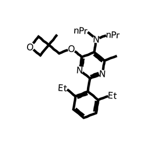 CCCN(CCC)c1c(C)nc(-c2c(CC)cccc2CC)nc1OCC1(C)COC1